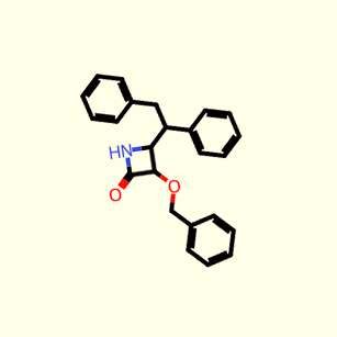 O=C1NC(C(Cc2ccccc2)c2ccccc2)C1OCc1ccccc1